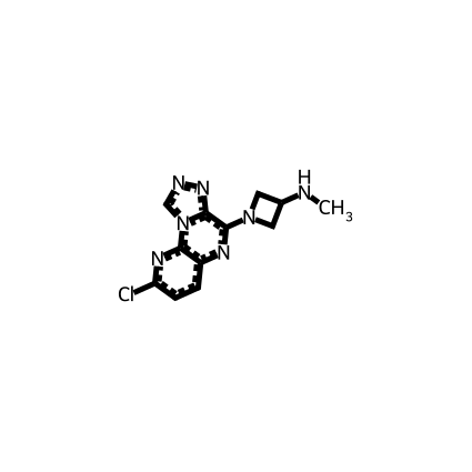 CNC1CN(c2nc3ccc(Cl)nc3n3cnnc23)C1